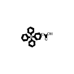 O=C(O)O.c1ccc(S(c2ccccc2)(c2ccccc2)c2ccccc2)cc1